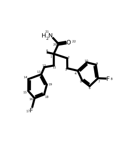 CC(CCc1ccc(F)cc1)(CCc1ccc(F)cc1)C(N)=O